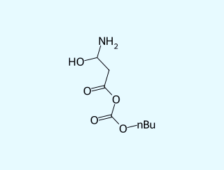 CCCCOC(=O)OC(=O)CC(N)O